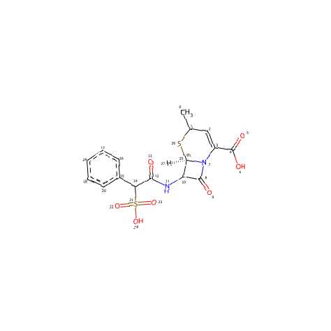 CC1C=C(C(=O)O)N2C(=O)C(NC(=O)C(c3ccccc3)S(=O)(=O)O)[C@H]2S1